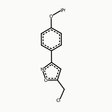 CC(C)Oc1ccc(-c2cc(CCl)on2)cc1